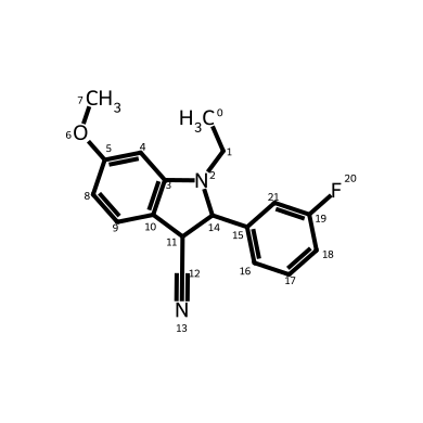 CCN1c2cc(OC)ccc2C(C#N)C1c1cccc(F)c1